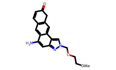 COCCOCn1cc2c(cc(N)c3cc4c(cc32)CC(=O)C=C4)n1